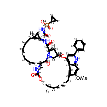 COc1cc2nc(-c3ccccc3)cc3c2cc1CCCC[C@H](C)COC(=O)N[C@H]1CCCCCCC[C@@H]2C[C@@]2(C(=O)NS(=O)(=O)C2CC2)NC(=O)[C@@H]2C[C@H](CN2C1=O)O3